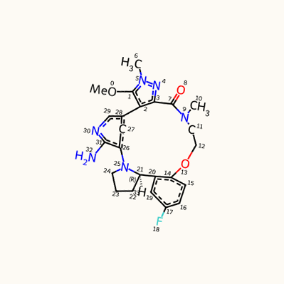 COc1c2c(nn1C)C(=O)N(C)CCOc1ccc(F)cc1[C@H]1CCCN1c1cc-2cnc1N